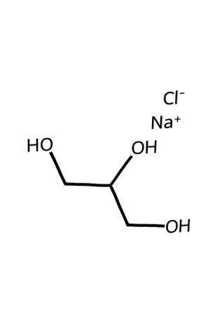 OCC(O)CO.[Cl-].[Na+]